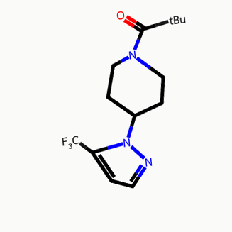 CC(C)(C)C(=O)N1CCC(n2nccc2C(F)(F)F)CC1